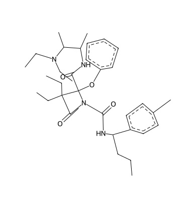 CCCC(NC(=O)N1C(=O)C(CC)(CC)C1(Oc1ccccc1)C(=O)NC(C)C(C)N(CC)CC)c1ccc(C)cc1